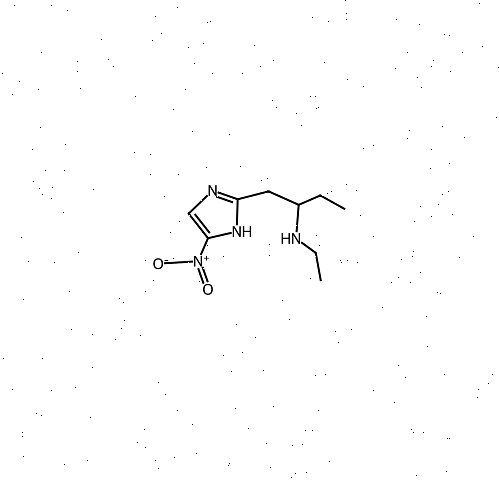 CCNC(CC)Cc1ncc([N+](=O)[O-])[nH]1